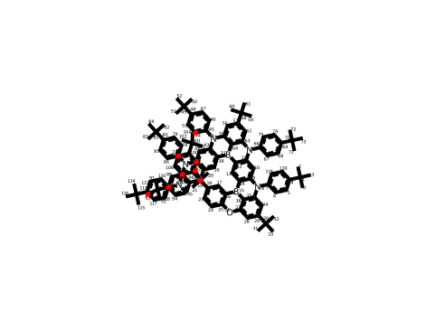 CC(C)(C)c1ccc(N2c3cc4c(cc3B3c5cc(C(C)(C)C)ccc5Oc5cc(C(C)(C)C)cc2c53)B2c3cc5c(cc3N(c3ccc(C(C)(C)C)cc3)c3cc(C(C)(C)C)cc(c32)N4c2ccc(C(C)(C)C)cc2)N(c2ccc(C(C)(C)C)cc2)c2cc(C(C)(C)C)cc3c2B5c2cc(C(C)(C)C)ccc2N3c2ccc(C(C)(C)C)cc2)cc1